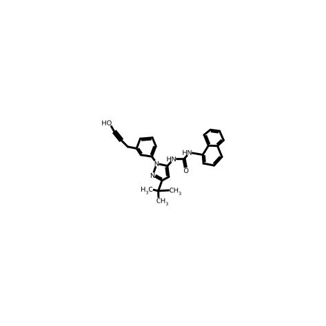 CC(C)(C)c1cc(NC(=O)Nc2cccc3ccccc23)n(-c2cccc(CC#CO)c2)n1